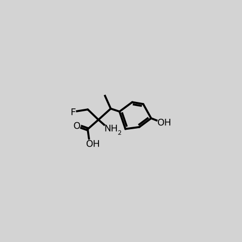 CC(c1ccc(O)cc1)C(N)(CF)C(=O)O